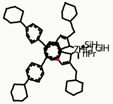 CC[CH2][Zr]([CH3])(=[SiH2])([CH]1C(CC2CCCCC2)=Cc2c(-c3ccc(C4CCCCC4)cc3)cccc21)[CH]1C(CC2CCCCC2)=Cc2c(-c3ccc(C4CCCCC4)cc3)cccc21.Cl.Cl